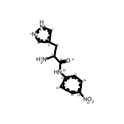 NC(Cc1cn[nH]c1)C(=O)Nc1ccc([N+](=O)[O-])cc1